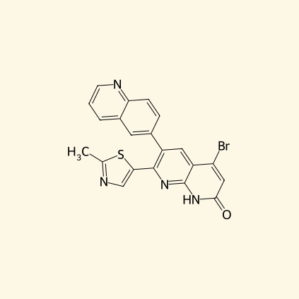 Cc1ncc(-c2nc3[nH]c(=O)cc(Br)c3cc2-c2ccc3ncccc3c2)s1